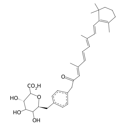 CC1=C(/C=C/C(C)=C/C=C/C(C)=C/C(=O)Cc2ccc(C[C@@H]3OC(C(=O)O)[C@@H](O)C(O)C3O)cc2)C(C)(C)CCC1